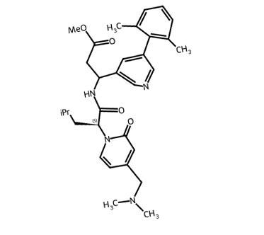 COC(=O)CC(NC(=O)[C@H](CC(C)C)n1ccc(CN(C)C)cc1=O)c1cncc(-c2c(C)cccc2C)c1